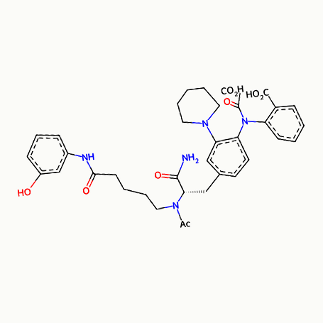 CC(=O)N(CCCCC(=O)Nc1cccc(O)c1)[C@@H](Cc1ccc(N(C(=O)C(=O)O)c2ccccc2C(=O)O)c(N2CCCCC2)c1)C(N)=O